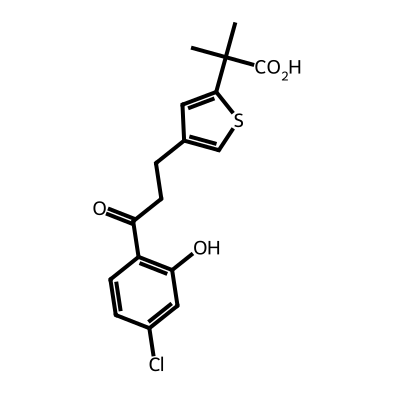 CC(C)(C(=O)O)c1cc(CCC(=O)c2ccc(Cl)cc2O)cs1